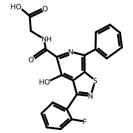 O=C(O)CNC(=O)c1nc(-c2ccccc2)c2snc(-c3ccccc3F)c2c1O